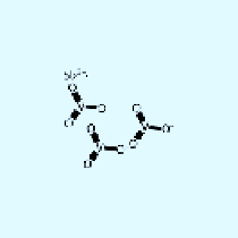 [O]=[V](=[O])[O-].[O]=[V](=[O])[O-].[O]=[V](=[O])[O-].[Sb+3]